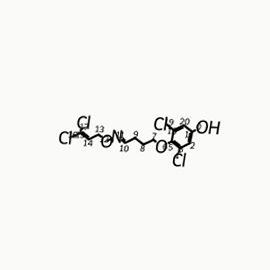 Oc1cc(Cl)c(OCCCC=NOCC=C(Cl)Cl)c(Cl)c1